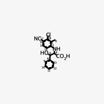 Cc1c(NC(C(=O)O)C(O)c2ccccc2)ccc(C#N)c1Cl